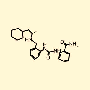 C[C@@H](CC1CCCCC1)NCc1ccccc1NC(=O)Nc1ccccc1C(N)=O